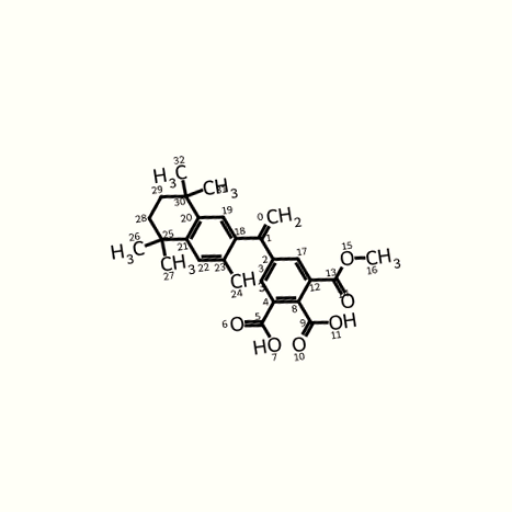 C=C(c1cc(C(=O)O)c(C(=O)O)c(C(=O)OC)c1)c1cc2c(cc1C)C(C)(C)CCC2(C)C